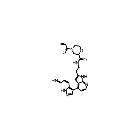 C=CC(=O)N1CCOC(C(=O)NCCc2cc3c(-c4cn[nH]c4/C=C\C=N)ccnc3[nH]2)C1